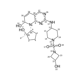 C[C@@]1(O)CCC[C@H]1N1c2nc(NC3CCN(S(=O)(=O)N4CC(O)C4)CC3)ncc2C=CC1O